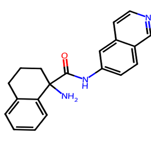 NC1(C(=O)Nc2ccc3cnccc3c2)CCCc2ccccc21